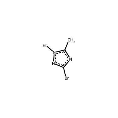 CCn1nc(Br)nc1C